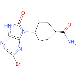 NC(=O)[C@H]1CC[C@H](n2c(=O)[nH]c3ncc(Br)nc32)CC1